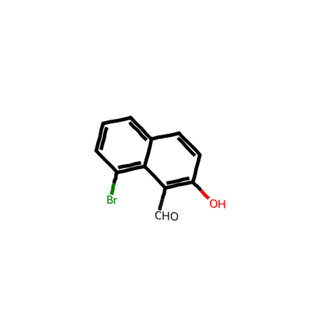 O=Cc1c(O)ccc2cccc(Br)c12